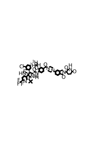 [2H]C([2H])([2H])Oc1cc(C(=O)N2CCN(c3ccc4c(c3)CN(C3CCC(=O)NC3=O)C4=O)CC2)ccc1NC(=O)[C@@H]1N[C@@H](CC(C)(C)C)[C@@]2(CNc3cc(C(F)(F)F)ncc32)[C@H]1c1cccc(Cl)c1F